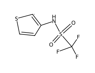 O=S(=O)(Nc1[c]scc1)C(F)(F)F